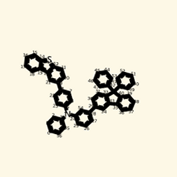 c1ccc(N(c2ccc(-c3ccc4sc5ccccc5c4c3)cc2)c2cccc(-c3ccc4c(c3)-c3ccccc3C4(c3ccccc3)c3ccccc3)c2)cc1